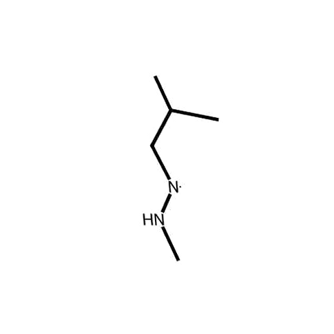 CN[N]CC(C)C